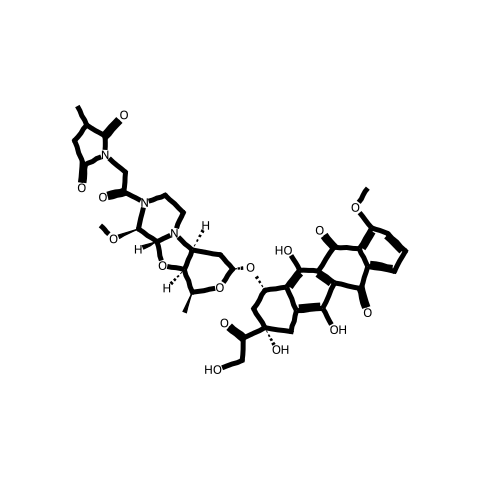 COc1cccc2c1C(=O)c1c(O)c3c(c(O)c1C2=O)C[C@@](O)(C(=O)CO)C[C@@H]3O[C@H]1C[C@H]2[C@H](O[C@@H]3[C@@H](OC)N(C(=O)CN4C(=O)CC(C)C4=O)CCN32)[C@H](C)O1